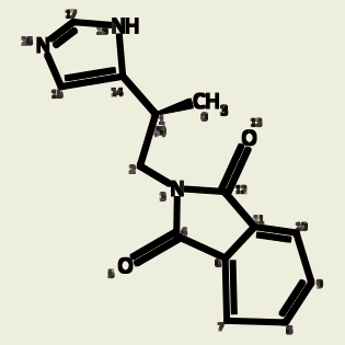 C[C@@H](CN1C(=O)c2ccccc2C1=O)c1cnc[nH]1